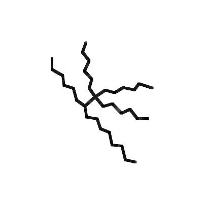 CCCCCCCCC(CCCCCC)C(CCCCCC)(CCCCCC)CCCCCC